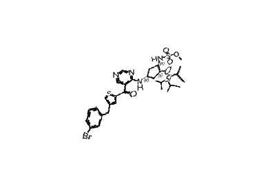 COS(=O)(=O)N[C@@H]1C[C@@H](Nc2ncncc2C(=O)c2cc(Cc3cccc(Br)c3)cs2)C[C@@H]1O[Si](C(C)C)(C(C)C)C(C)C